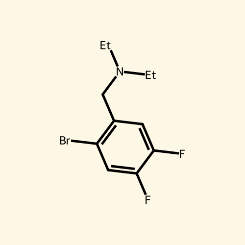 CCN(CC)Cc1cc(F)c(F)cc1Br